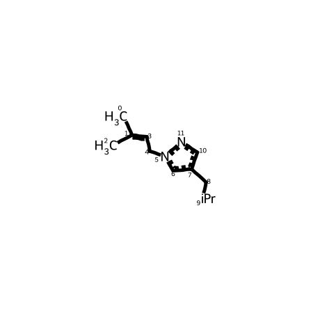 CC(C)=CCn1cc(CC(C)C)cn1